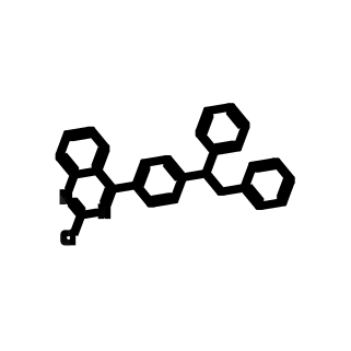 Clc1nc(-c2ccc(C(Cc3ccccc3)c3ccccc3)cc2)c2ccccc2n1